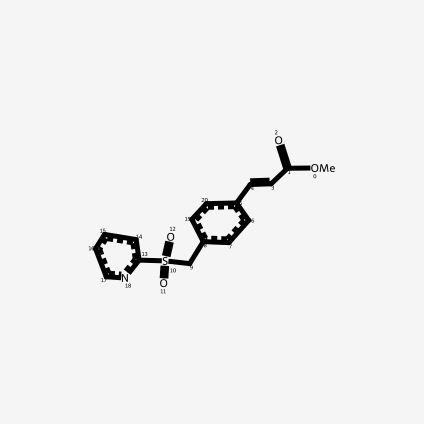 COC(=O)/C=C/c1ccc(CS(=O)(=O)c2ccccn2)cc1